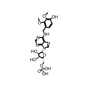 COc1c(O)ccc(CNc2ncnc3c2ncn3[C@@H]2O[C@H](COP(=O)(O)O)[C@@H](O)[C@H]2O)c1OC